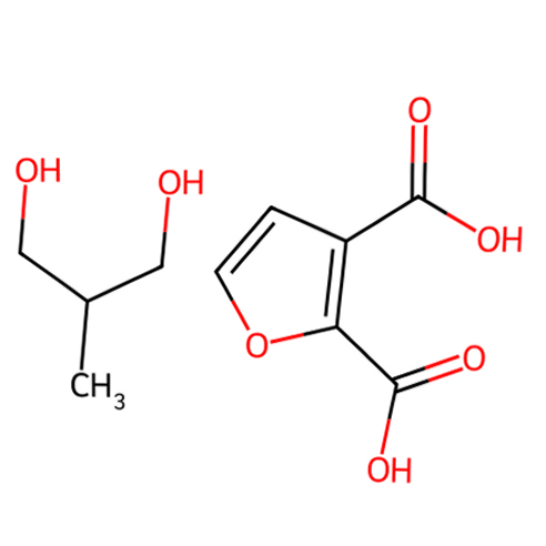 CC(CO)CO.O=C(O)c1ccoc1C(=O)O